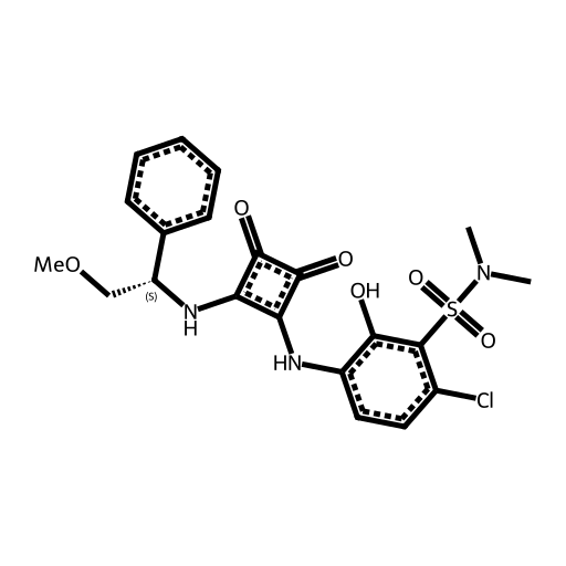 COC[C@@H](Nc1c(Nc2ccc(Cl)c(S(=O)(=O)N(C)C)c2O)c(=O)c1=O)c1ccccc1